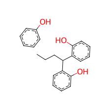 CCCC(c1ccccc1O)c1ccccc1O.Oc1ccccc1